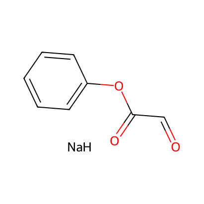 O=CC(=O)Oc1ccccc1.[NaH]